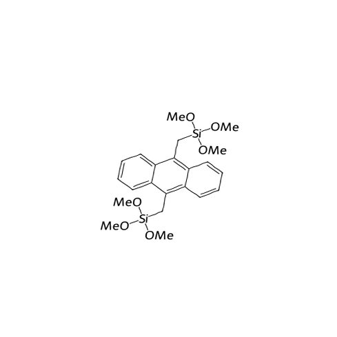 CO[Si](Cc1c2ccccc2c(C[Si](OC)(OC)OC)c2ccccc12)(OC)OC